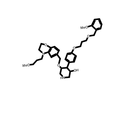 COCCCN1CCOc2ccc(COC3CNCC(O)C3c3ccc(OCCCOCc4ccccc4OC)cc3)cc21